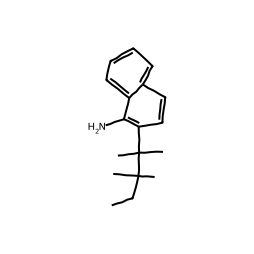 CCC(C)(C)C(C)(C)c1ccc2ccccc2c1N